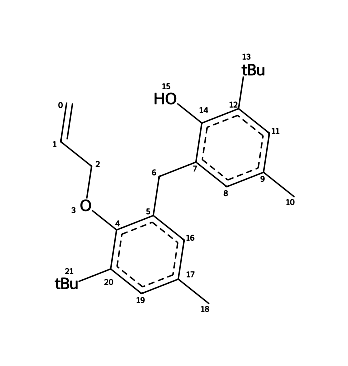 C=CCOc1c(Cc2cc(C)cc(C(C)(C)C)c2O)cc(C)cc1C(C)(C)C